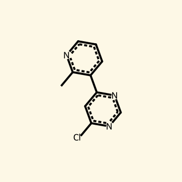 Cc1ncccc1-c1cc(Cl)ncn1